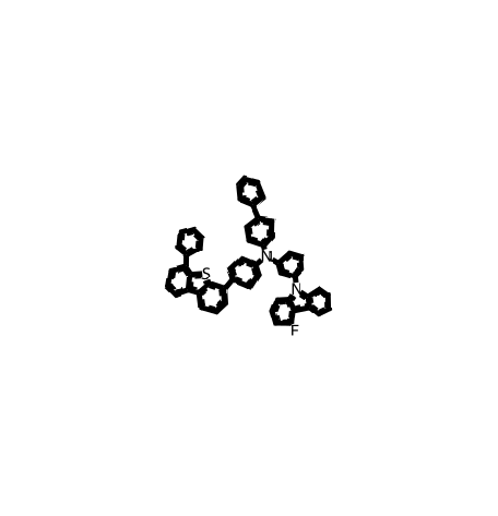 Fc1cccc2c1c1ccccc1n2-c1cccc(N(c2ccc(-c3ccccc3)cc2)c2ccc(-c3cccc4c3sc3c(-c5ccccc5)cccc34)cc2)c1